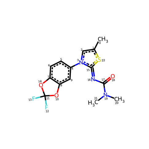 Cc1cn(-c2ccc3c(c2)OC(F)(F)O3)c(=NC(=O)N(C)C)s1